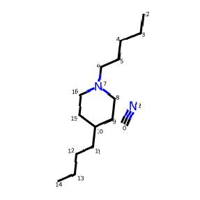 C#N.CCCCCN1CCC(CCCC)CC1